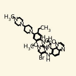 CCc1cc(Nc2ncc(Br)c(Nc3ccc4nccnc4c3N[SH](=O)=O)n2)c(OC)cc1N1CCC(N2CCN(C)CC2)CC1